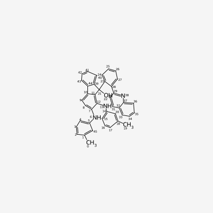 Cc1cccc(Nc2ccc3c(c2Nc2cccc(C)c2)C(O)(c2ccccc2-c2ccc4ccccc4n2)c2ccccc2-3)c1